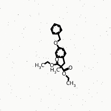 CCOC(=O)C(C)(Cc1ccc(OCc2ccccc2)cc1)C(=O)OCC